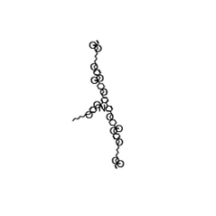 C=CC(=O)OCCCCCCOc1ccc(OC(=O)C2CCC(OCc3ccc4c(c3)nc(Oc3ccc(OCCCCCC)cc3)c3cc(COC5CCC(C(=O)Oc6ccc(OCCCCCCOC(=O)C=C)cc6)CC5)ccc34)CC2)cc1